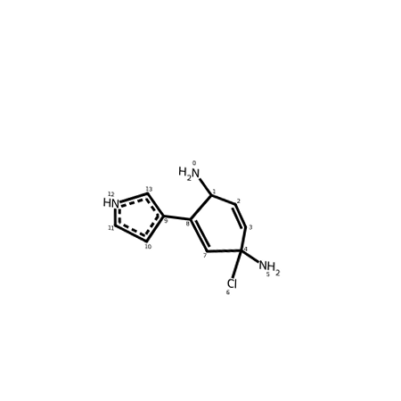 NC1C=CC(N)(Cl)C=C1c1cc[nH]c1